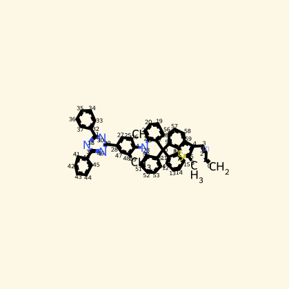 C=C/C=C\c1c(C)sc2c(C3(c4ccccc4)c4ccccc4N(c4c(C)cc(-c5nc(-c6ccccc6)nc(-c6ccccc6)n5)cc4C)c4ccccc43)cccc12